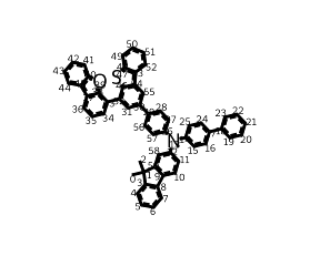 CC1(C)c2ccccc2-c2ccc(N(c3ccc(-c4ccccc4)cc3)c3ccc(-c4cc(-c5cccc6c5oc5ccccc56)c5sc6ccccc6c5c4)cc3)cc21